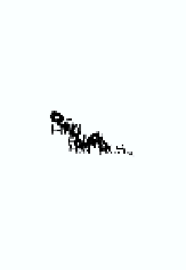 Cc1cn(-c2nccc3[nH]c(-c4n[nH]c5cc(F)c(-c6cncc(NC(=O)Cc7ccccc7)c6)cc45)nc23)cn1